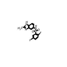 Cc1nc2cc(NS(=O)(=O)c3cc(F)ccc3F)ccc2[nH]1